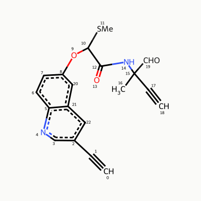 C#Cc1cnc2ccc(OC(SC)C(=O)NC(C)(C#C)C=O)cc2c1